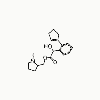 CN1CCCC1COC(=O)C(O)c1ccccc1C1=CCCC1